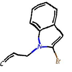 C=CCn1c(Br)cc2ccccc21